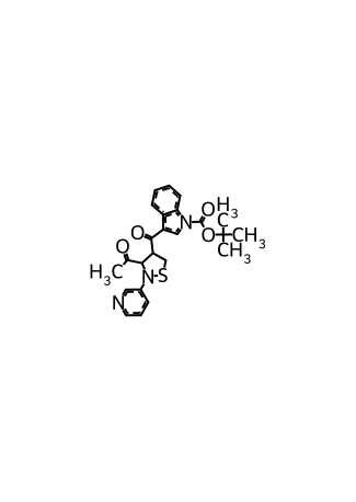 CC(=O)C1C(C(=O)c2cn(C(=O)OC(C)(C)C)c3ccccc23)CSN1c1cccnc1